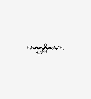 CCSSCCC(=O)[C@H](CCCCN)NN